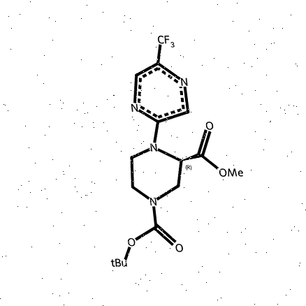 COC(=O)[C@H]1CN(C(=O)OC(C)(C)C)CCN1c1cnc(C(F)(F)F)cn1